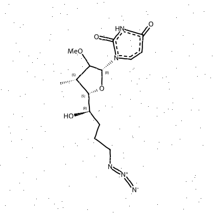 COC1[C@@H](C)[C@@H]([C@H](O)CCCN=[N+]=[N-])O[C@H]1n1ccc(=O)[nH]c1=O